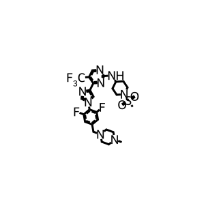 CN1CCN(Cc2cc(F)c(-n3cnc(-c4nc(NC5CCN(S(C)(=O)=O)CC5)ncc4C(F)(F)F)c3)c(F)c2)CC1